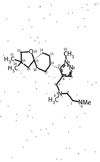 CNCCN(C)Cc1cnn(C)c1[C@H]1CC[C@]2(CC1)CC(C)(C)CO2